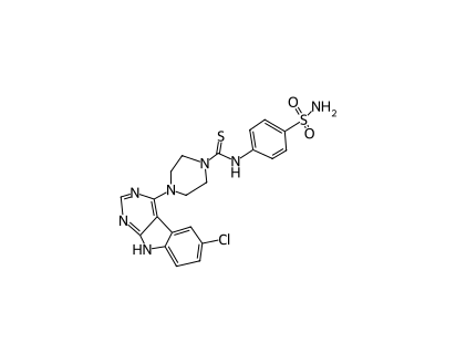 NS(=O)(=O)c1ccc(NC(=S)N2CCN(c3ncnc4[nH]c5ccc(Cl)cc5c34)CC2)cc1